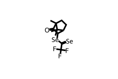 CC12CCC(C([Se]C(=[Se])C(F)(F)F)C1=O)C2(C)C